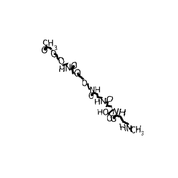 CNCCCC(=O)N[C@@H](CCC(=O)NCCCC(=O)NCCOCCOCC(=O)NCCOCCOCC(C)=O)C(=O)O